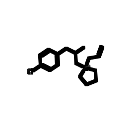 C=CC[N+]1(CC(C)Cc2ccc(Cl)cc2)CCCC1